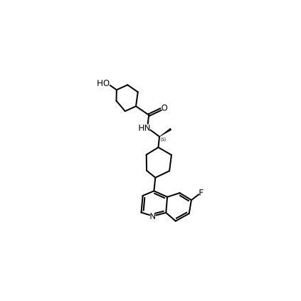 C[C@H](NC(=O)C1CCC(O)CC1)C1CCC(c2ccnc3ccc(F)cc23)CC1